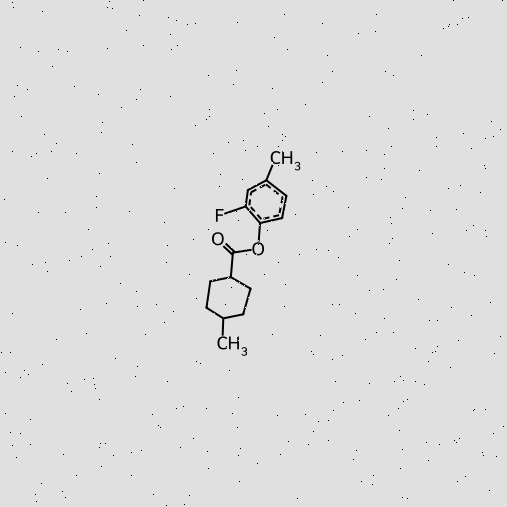 Cc1ccc(OC(=O)C2CCC(C)CC2)c(F)c1